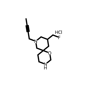 CC#CCN1CC(CF)CC2(CCNCO2)C1.Cl